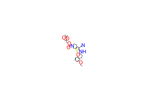 CCOc1ccccc1[C@@H](C)CC(=O)Nc1sc2c(c1C#N)CCN(C(=O)OCC1COC(C)(C)O1)C2